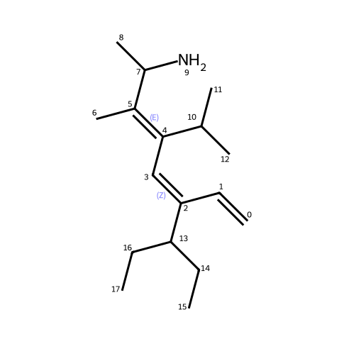 C=C/C(=C\C(=C(/C)C(C)N)C(C)C)C(CC)CC